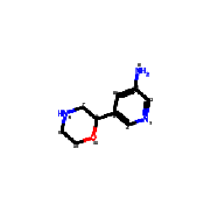 Nc1cncc(C2CNCCO2)c1